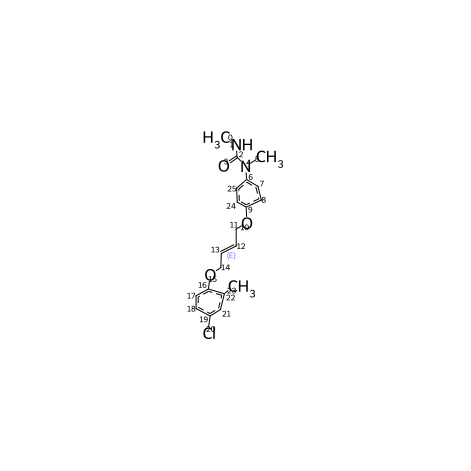 CNC(=O)N(C)c1ccc(OC/C=C/COc2ccc(Cl)cc2C)cc1